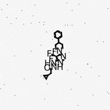 O=C(CC1CC1)NNc1ncnc(N2CCC(c3ccccc3)CC2)c1C(F)(F)F